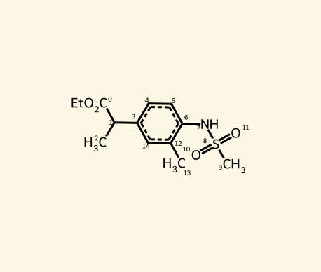 CCOC(=O)C(C)c1ccc(NS(C)(=O)=O)c(C)c1